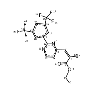 CCOC(=O)/C(Br)=C\c1ccnc(-c2cc(C(F)(F)F)cc(C(F)(F)F)c2)n1